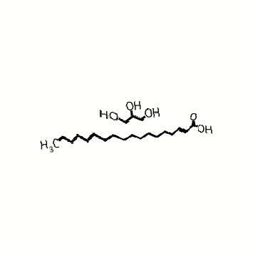 CCCCCCCCCCCCCCC/C=C/C(=O)O.OCC(O)CO